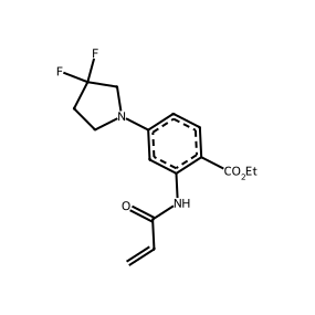 C=CC(=O)Nc1cc(N2CCC(F)(F)C2)ccc1C(=O)OCC